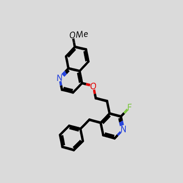 COc1ccc2c(OCCc3c(Cc4ccccc4)ccnc3F)ccnc2c1